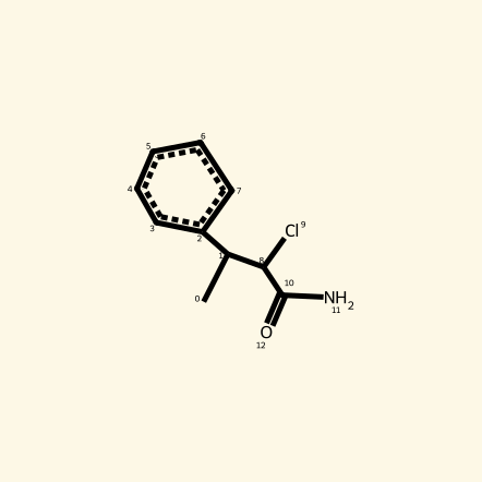 CC(c1ccccc1)C(Cl)C(N)=O